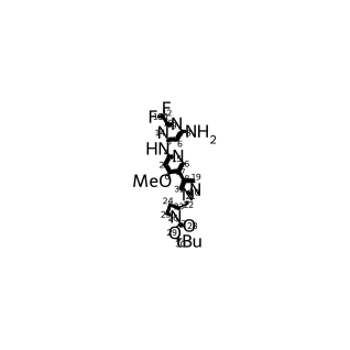 COc1cc(Nc2cc(N)nc(C(F)F)n2)ncc1-c1cnn(C[C@@H]2CCN2C(=O)OC(C)(C)C)c1